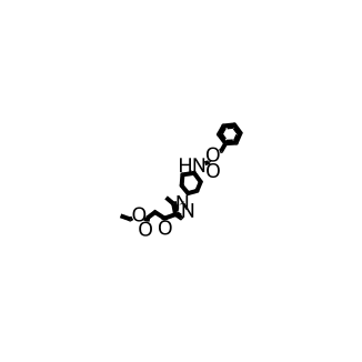 CCOC(=O)CC(=O)c1cnn([C@H]2CC[C@H](NC(=O)OCc3ccccc3)CC2)c1C